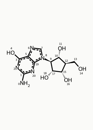 Nc1nc(O)c2ncn([C@H]3[C@H](O)[C@@H](CO)[C@H](O)[C@@H]3O)c2n1